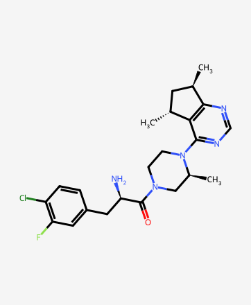 C[C@@H]1C[C@@H](C)c2c1ncnc2N1CCN(C(=O)[C@H](N)Cc2ccc(Cl)c(F)c2)C[C@@H]1C